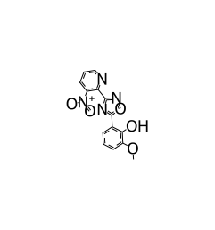 COc1cccc(-c2nc(-c3ncccc3[N+](=O)[O-])no2)c1O